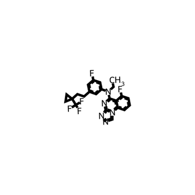 CCN(c1cc(F)cc(CCC2(C(F)(F)F)CC2)c1)c1nc2nncn2c2cccc(F)c12